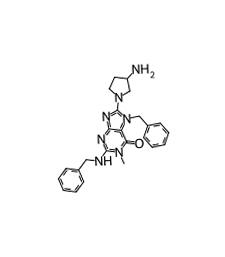 Cn1c(NCc2ccccc2)nc2nc(N3CCC(N)C3)n(Cc3ccccc3)c2c1=O